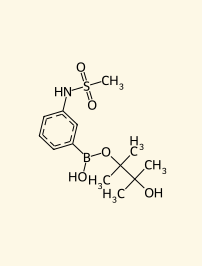 CC(C)(O)C(C)(C)OB(O)c1cccc(NS(C)(=O)=O)c1